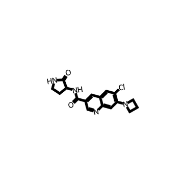 O=C(NC1CCNC1=O)c1cnc2cc(N3CCC3)c(Cl)cc2c1